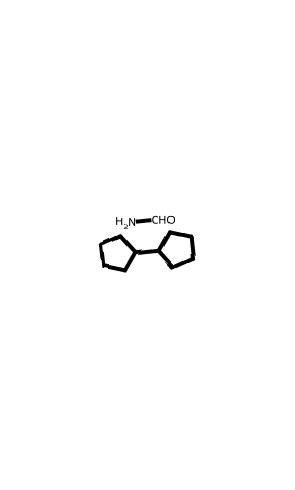 C1CCC(C2CCCC2)C1.NC=O